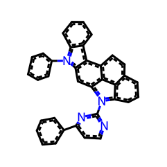 c1ccc(-c2ccnc(-n3c4cccc5ccc6c7c8ccccc8n(-c8ccccc8)c7cc3c6c54)n2)cc1